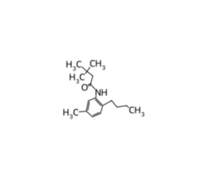 CCCCc1ccc(C)cc1NC(=O)CC(C)(C)C